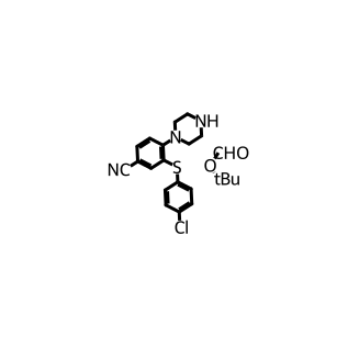 CC(C)(C)OC=O.N#Cc1ccc(N2CCNCC2)c(Sc2ccc(Cl)cc2)c1